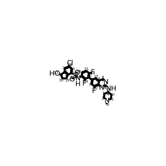 CN1CCC(Nc2ncc3cc(-c4c(F)ccc(NS(=O)(=O)c5cc(Cl)cc6c5CCC6O)c4F)cc(F)c3n2)CC1